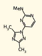 CNc1nccc(-n2nc(C)nc2C)n1